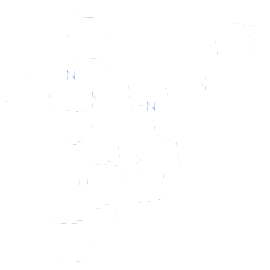 c1ccc(-c2ccc(N(c3ccc4c(c3)C3(c5ccccc5-4)c4ccc5ccccc5c4Oc4c3ccc3ccccc43)c3ccc4c(c3)c3ccccc3n4-c3ccccc3)cc2)cc1